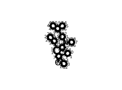 c1ccc(-c2c3c(cc4oc5ccccc5c24)CCC(c2ccc4ccccc4c2)c2cc(N(c4ccccc4)c4ccc(-c5cc6ccccc6c6ccccc56)cc4)ccc2-3)cc1